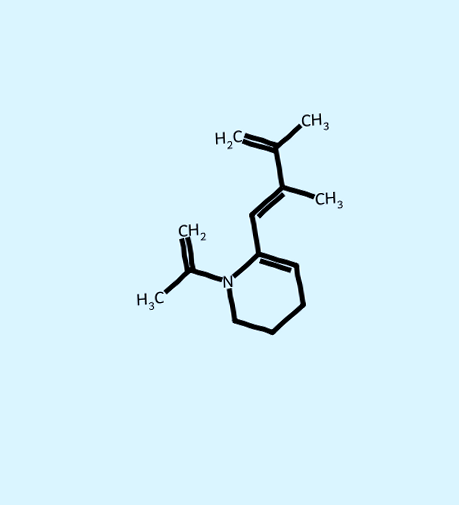 C=C(C)/C(C)=C/C1=CCCCN1C(=C)C